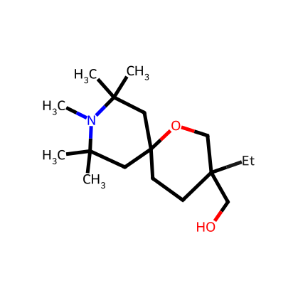 CCC1(CO)CCC2(CC(C)(C)N(C)C(C)(C)C2)OC1